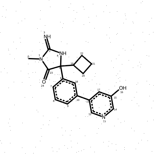 CN1C(=N)NC(c2cccc(-c3cncc(O)c3)c2)(C2CCC2)C1=O